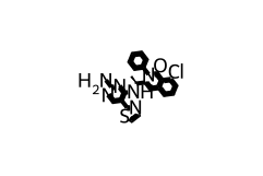 C[C@H](Nc1nc(N)ncc1-c1nccs1)c1cc2cccc(Cl)c2c(=O)n1-c1ccccc1